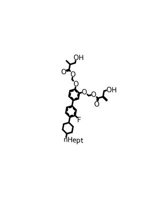 C=C(CO)C(=O)OCOc1cc(-c2ccc(C3CCC(CCCCCCC)CC3)c(F)c2)ccc1OCOC(=O)C(C)CO